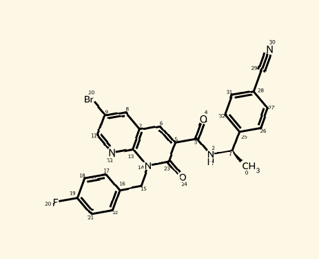 C[C@@H](NC(=O)c1cc2cc(Br)cnc2n(Cc2ccc(F)cc2)c1=O)c1ccc(C#N)cc1